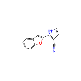 N#Cc1cc[nH]c1-c1cc2ccccc2o1